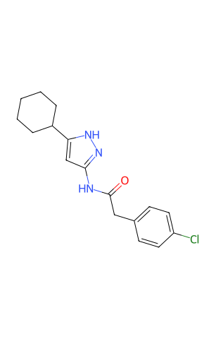 O=C(Cc1ccc(Cl)cc1)Nc1cc(C2CCCCC2)[nH]n1